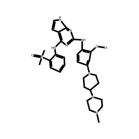 CCOc1cc(N2CCC(N3CCN(C)CC3)CC2)ccc1Nc1nc(Nc2ccccc2P(C)(C)=O)c2cc[nH]c2n1